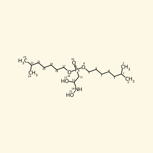 CC(C)CCCCCOP(=O)(CC(O)NO)OCCCCCC(C)C